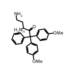 COc1ccc(C(C(=O)[C@@H](N)CCN)(c2ccccc2)c2ccc(OC)cc2)cc1